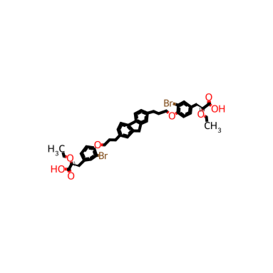 CCO[C@@H](Cc1ccc(OCCCc2ccc3c(c2)Cc2cc(CCCOc4ccc(C[C@H](OCC)C(=O)O)cc4Br)ccc2-3)c(Br)c1)C(=O)O